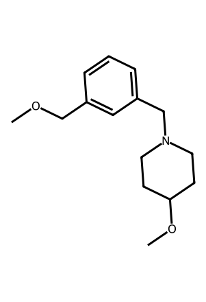 COCc1cccc(CN2CCC(OC)CC2)c1